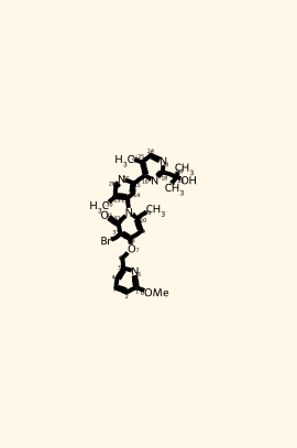 COc1cccc(COc2cc(C)n(-c3cc(-c4nc(C(C)(C)O)ncc4C)ncc3C)c(=O)c2Br)n1